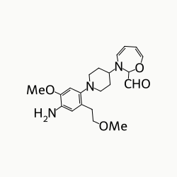 COCCc1cc(N)c(OC)cc1N1CCC(N2C=CC=COC2C=O)CC1